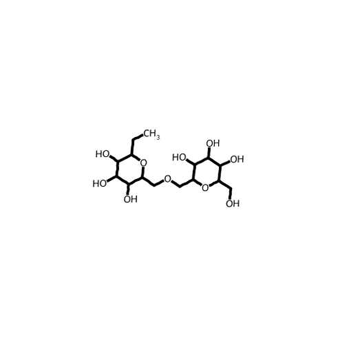 CCC1OC(COCC2OC(CO)C(O)C(O)C2O)C(O)C(O)C1O